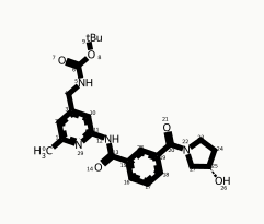 Cc1cc(CNC(=O)OC(C)(C)C)cc(NC(=O)c2cccc(C(=O)N3CC[C@H](O)C3)c2)n1